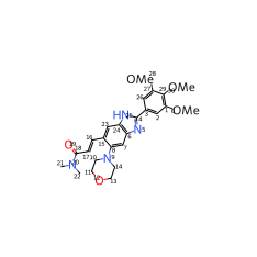 COc1cc(-c2nc3cc(N4CCOCC4)c(/C=C/C(=O)N(C)C)cc3[nH]2)cc(OC)c1OC